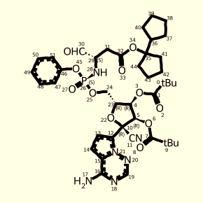 CC(C)(C)C(=O)O[C@H]1[C@@H](OC(=O)C(C)(C)C)[C@](C#N)(c2ccc3c(N)ncnn23)O[C@@H]1CO[P@@](=O)(N[C@H](C=O)CC(=O)OC1(C2CCCC2)CCCC1)Oc1ccccc1